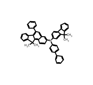 CC1(C)c2ccccc2-c2ccc(N(c3ccc(-c4ccccc4)cc3)c3ccc4c5c(c(-c6ccccc6)cc4c3)-c3ccccc3C5(C)C)cc21